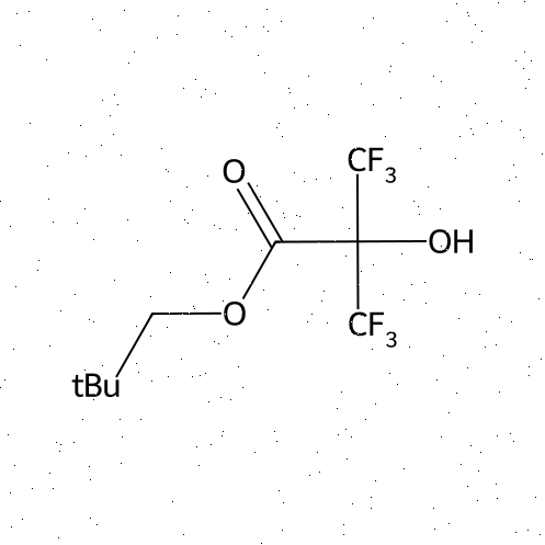 CC(C)(C)COC(=O)C(O)(C(F)(F)F)C(F)(F)F